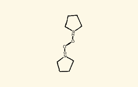 C1CC[SiH](OO[SiH]2CCCC2)C1